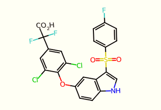 O=C(O)C(F)(F)c1cc(Cl)c(Oc2ccc3[nH]cc(S(=O)(=O)c4ccc(F)cc4)c3c2)c(Cl)c1